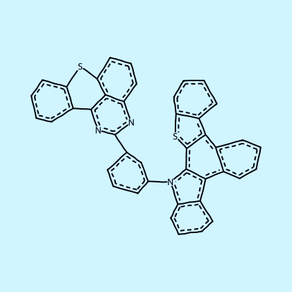 c1cc(-c2nc3c4c(cccc4n2)Sc2ccccc2-3)cc(-n2c3ccccc3c3c4ccccc4c4c5ccccc5sc4c32)c1